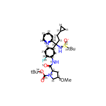 COC1CC(C(=O)Nc2cc(C(CCC3CC3)(N[S+]([O-])C(C)(C)C)c3ccccn3)ccc2F)N(C(=O)OC(C)(C)C)C1